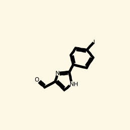 O=Cc1c[nH]c(-c2ccc(I)cc2)n1